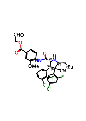 COc1cc(C(=O)O[CH]C=O)ccc1NC(=O)[C@@H]1N[C@@H](CC(C)(C)C)[C@](C#N)(c2ccc(Cl)cc2F)[C@H]1c1cccc(Cl)c1F